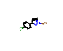 Sn1ccc(-c2ccc(Cl)cc2)n1